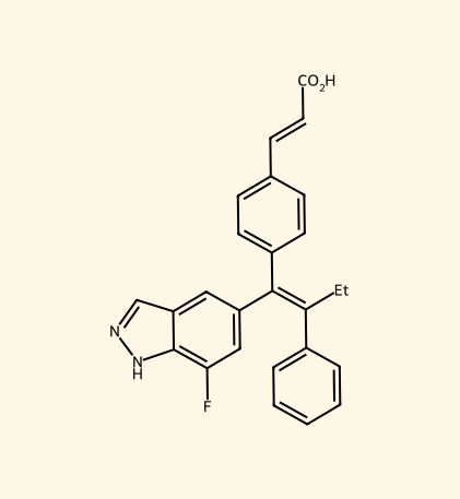 CCC(=C(c1ccc(C=CC(=O)O)cc1)c1cc(F)c2[nH]ncc2c1)c1ccccc1